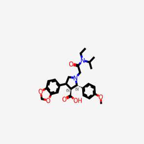 CCN(C(=O)CN1CC(c2ccc3c(c2)OCO3)[C@H](C(=O)O)[C@H]1c1ccc(OC)cc1)C(C)C